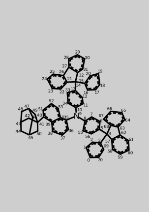 c1ccc(C2(c3ccc(N(c4ccc(C5(c6ccccc6)c6ccccc6-c6ccccc65)cc4)c4cccc5c(C67CC8CC(CC(C8)C6)C7)cccc45)cc3)c3ccccc3-c3ccccc32)cc1